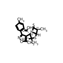 Cc1ccc(-c2noc(C)c2[C@@]2(C(=O)O)N3C(=S)[C@@H](C)[C@H]3SC2(C)C)cc1